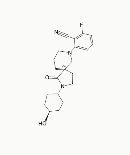 N#Cc1c(F)cccc1N1CCC[C@]2(CCN([C@H]3CC[C@H](O)CC3)C2=O)C1